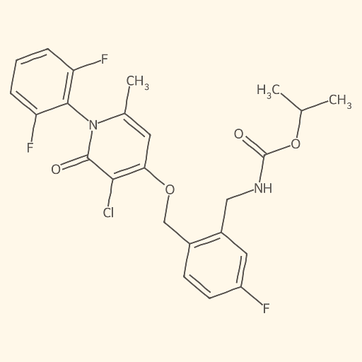 Cc1cc(OCc2ccc(F)cc2CNC(=O)OC(C)C)c(Cl)c(=O)n1-c1c(F)cccc1F